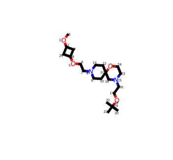 COC1CC(OCCN2CCC3(CC2)CN(CCOC(C)(C)C)CCO3)C1